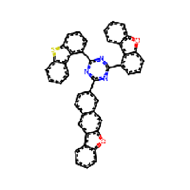 c1ccc2c(c1)oc1cc3cc(-c4nc(-c5cccc6oc7ccccc7c56)nc(-c5cccc6sc7ccccc7c56)n4)ccc3cc12